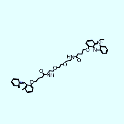 C=c1cccc/c1=C/c1c(C)cccc1OCCCC(=O)NCCOCCOCCNC(=O)CCCOc1cccc2c1nc1ccccc1[n+]2CC